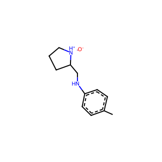 Cc1ccc(NCC2CCC[NH+]2[O-])cc1